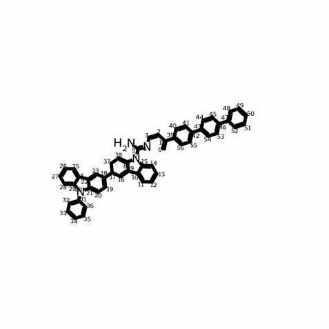 C=C(/C=C\N=C(/N)n1c2c(c3ccccc31)=CC(c1ccc3c(c1)c1ccccc1n3-c1ccccc1)CC=2)c1ccc(-c2ccc(-c3ccccc3)cc2)cc1